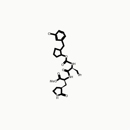 COC(=O)[C@H](C[C@@H]1CCNC1=O)NC(=O)[C@H](CC(C)C)NC(=O)OC1CCCC1Cc1cccc(Cl)c1